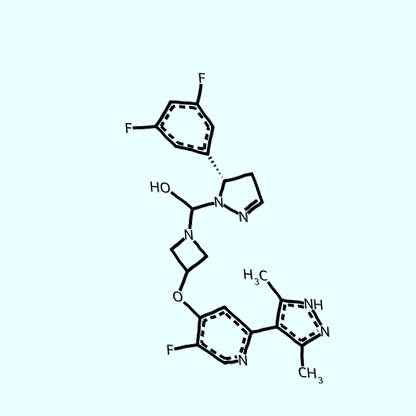 Cc1n[nH]c(C)c1-c1cc(OC2CN(C(O)N3N=CC[C@H]3c3cc(F)cc(F)c3)C2)c(F)cn1